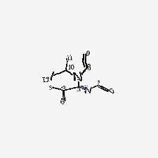 C=C/N=C(/C(C)C)N(C=C)C(C)I